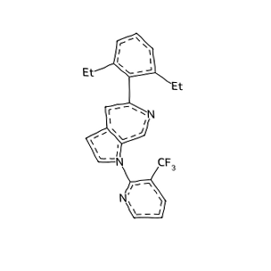 CCc1cccc(CC)c1-c1cc2ccn(-c3ncccc3C(F)(F)F)c2cn1